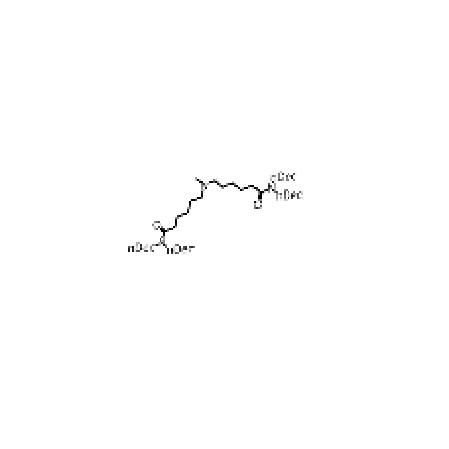 CCCCCCCCCCN(CCCCCCCCCC)C(=O)CCCCCN(C)CCCCCC(=O)N(CCCCCCCCCC)CCCCCCCCCC